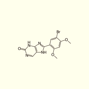 COc1cc(OC)c(-c2nc3[nH]c(=O)ncc3[nH]2)cc1Br